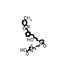 CC1=CC2N=C(c3cccc(C[C@H](O)/C=C/[C@H]4CCC(=O)N4CCSc4nc(C(=O)O)cs4)c3)OC2C=C1